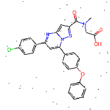 CN(CC(=O)O)C(=O)c1cc2nc(-c3ccc(Cl)cc3)cc(-c3ccc(Oc4ccccc4)cc3)n2n1